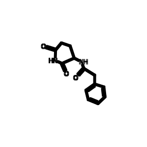 O=C1CCC(NC(=O)Cc2ccccc2)C(=O)N1